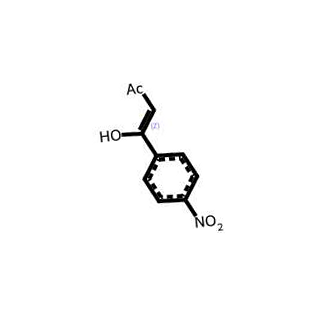 CC(=O)/C=C(\O)c1ccc([N+](=O)[O-])cc1